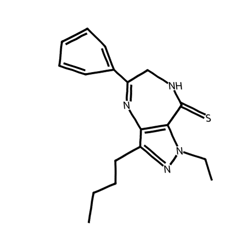 CCCCc1nn(CC)c2c1N=C(c1ccccc1)CNC2=S